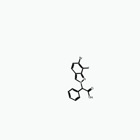 O=C(O)C(c1ccccc1)n1cc2ccc(Br)c(F)c2n1